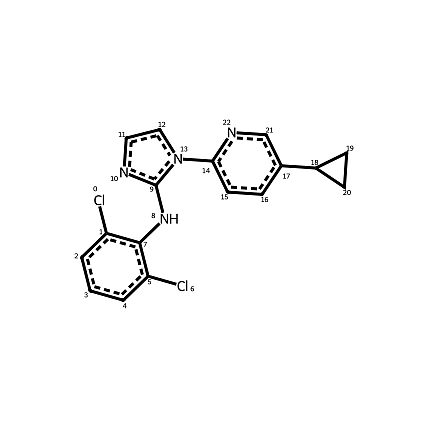 Clc1cccc(Cl)c1Nc1nccn1-c1ccc(C2CC2)cn1